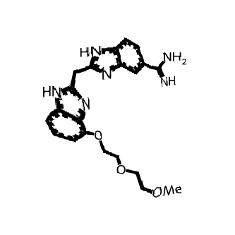 COCCOCCOc1cccc2[nH]c(Cc3nc4cc(C(=N)N)ccc4[nH]3)nc12